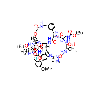 CNC(=O)[C@]1(C)CCCN1C(=O)[C@H](Cc1ccc(OC)cc1)NC(=O)[C@@H](NC(=O)[C@@H]1[C@@H]2CCN1C(=O)[C@@H]1Cc3cn(c4ccc(F)cc34)C(C)NOCN[C@@H](C)C(O)N[C@H](CNC(=O)OC(C)(C)C)C(=O)N[C@@H](Cc3cccc(c3)CNC(=O)CO2)C(=O)N1)[C@@H](C)OC(C)(C)C